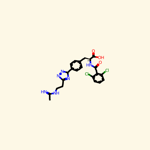 CC(=N)NCCC1=NC(c2ccc(C[C@H](NC(=O)c3c(Cl)cccc3Cl)C(=O)O)cc2)N=N1